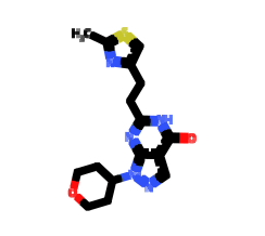 Cc1nc(CCc2nc3c(cnn3C3CCOCC3)c(=O)[nH]2)cs1